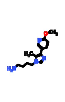 COc1ccc(-c2ncn(CCCCN)c2C)cn1